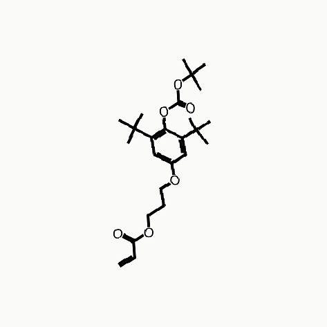 C=CC(=O)OCCCOc1cc(C(C)(C)C)c(OC(=O)OC(C)(C)C)c(C(C)(C)C)c1